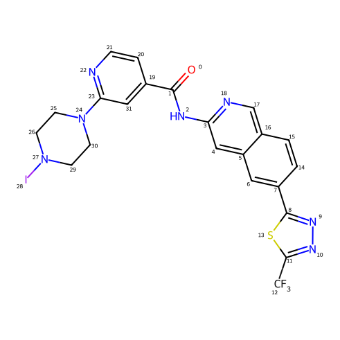 O=C(Nc1cc2cc(-c3nnc(C(F)(F)F)s3)ccc2cn1)c1ccnc(N2CCN(I)CC2)c1